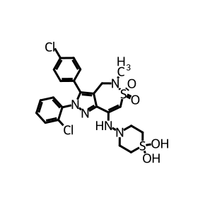 CN1Cc2c(nn(-c3ccccc3Cl)c2-c2ccc(Cl)cc2)C(NN2CCS(O)(O)CC2)=CS1(=O)=O